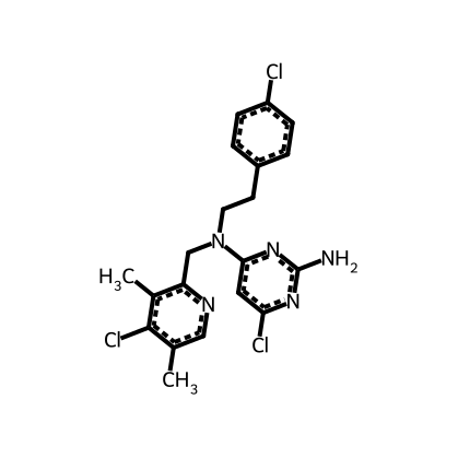 Cc1cnc(CN(CCc2ccc(Cl)cc2)c2cc(Cl)nc(N)n2)c(C)c1Cl